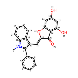 Cn1c(-c2ccccc2)c(C=C2Oc3cc(O)cc(O)c3C2=O)c2ccccc21